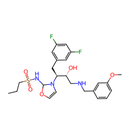 CCCS(=O)(=O)NC1OC=CN1[C@@H](Cc1cc(F)cc(F)c1)[C@H](O)CNCc1cccc(OC)c1